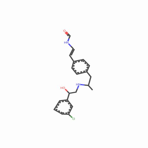 CC(Cc1ccc(C=CNC=O)cc1)NCC(O)c1cccc(Cl)c1